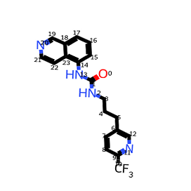 O=C(NCCCc1ccc(C(F)(F)F)nc1)Nc1cccc2cnccc12